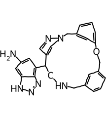 Nc1cc(C2CCNCc3cccc(c3)COc3cccc(c3)Cn3cc2cn3)c2nn[nH]c2c1